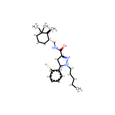 C=C1[C@H](CNC(=O)C2=NN(CCCCC)C(c3ccccc3F)C2)CCCC1(C)C